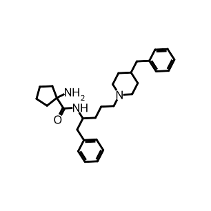 NC1(C(=O)NC(CCCN2CCC(Cc3ccccc3)CC2)Cc2ccccc2)CCCC1